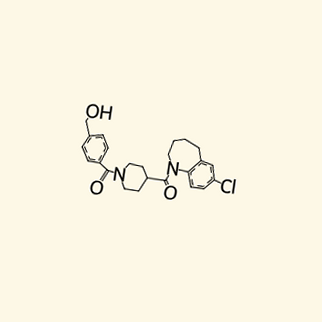 O=C(c1ccc(CO)cc1)N1CCC(C(=O)N2CCCCc3cc(Cl)ccc32)CC1